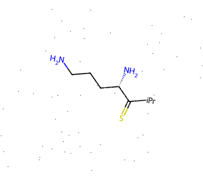 CC(C)C(=S)[C@@H](N)CCCN